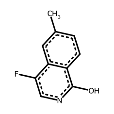 Cc1ccc2c(O)ncc(F)c2c1